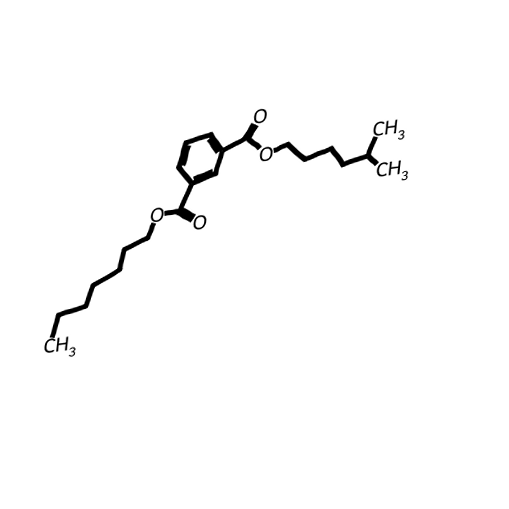 CCCCCCCOC(=O)c1cccc(C(=O)OCCCCC(C)C)c1